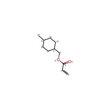 C=CC(=O)OCC1CCC(C)CC1